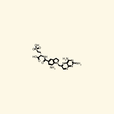 N.Nc1nc(N)c2nc(CN3CCc4cc(C(=O)N[C@@H](CCS(=O)(=O)O)C(=O)O)ccc43)cnc2n1